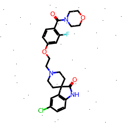 O=C(c1ccc(OCCN2CCC3(CC2)C(=O)Nc2ccc(Cl)cc23)cc1F)N1CCOCC1